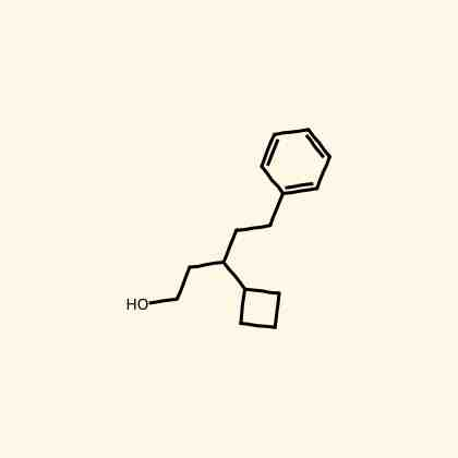 OCCC(CCc1ccccc1)C1CCC1